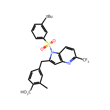 Cc1cc(Cc2cc3nc(C(F)(F)F)ccc3n2S(=O)(=O)c2cccc(C(C)(C)C)c2)ccc1C(=O)O